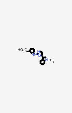 Cn1cc(-c2ccnc(Nc3cccc(CC(=O)O)c3)n2)c2ccccc21